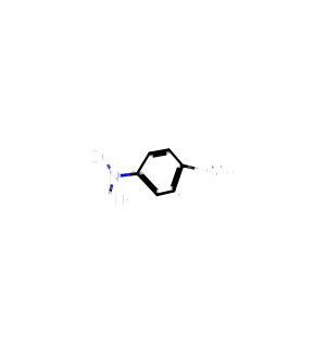 [CH2]CN(C=O)c1ccc(OC)cc1